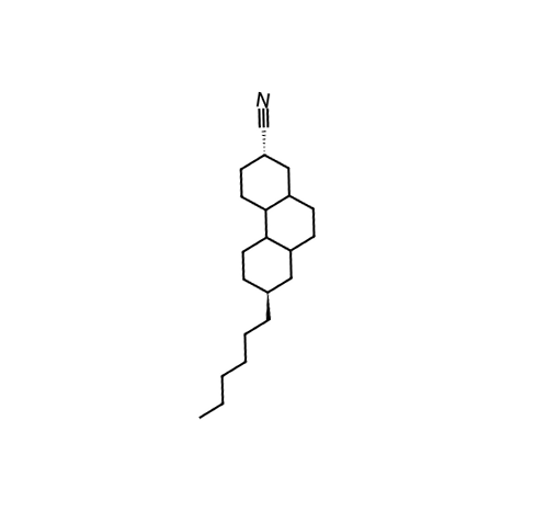 CCCCCC[C@H]1CCC2C(CCC3C[C@@H](C#N)CCC32)C1